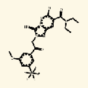 CCN(CC)C(=O)c1cc2nn(CC(=O)c3cc(OC)cc(S(F)(F)(F)(F)F)c3)c(=N)n2nc1Cl